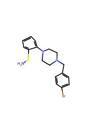 NSc1ccccc1N1CCN(Cc2ccc(Br)cc2)CC1